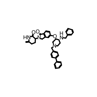 C=C1CCC(N2Cc3cc(OC4CN(Cc5ccc(-c6ccccc6)cc5)CCC4NCc4ccccc4)ccc3C2=O)C(=O)N1